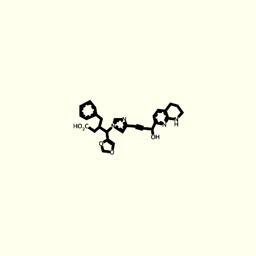 O=C(O)CC(Cc1ccccc1)C(C1=COCO1)n1cnc(C#CC(O)c2ccc3c(n2)NCCC3)c1